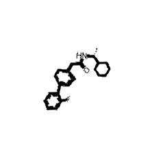 C[C@@H](NC(=O)Cc1ccc(-c2ccccc2F)cc1)C1CCCCC1